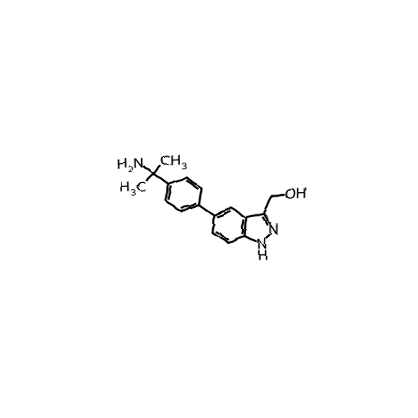 CC(C)(N)c1ccc(-c2ccc3[nH]nc(CO)c3c2)cc1